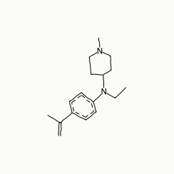 C=C(C)c1ccc(N(CC)C2CCN(C)CC2)cc1